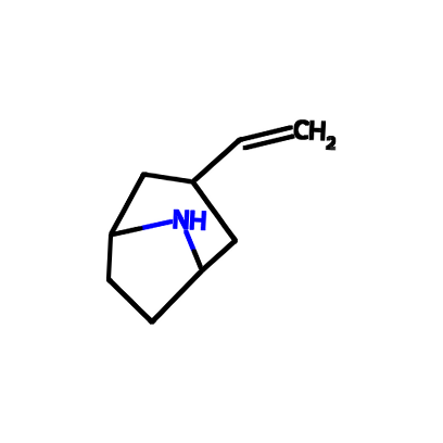 C=CC1CC2CCC(C1)N2